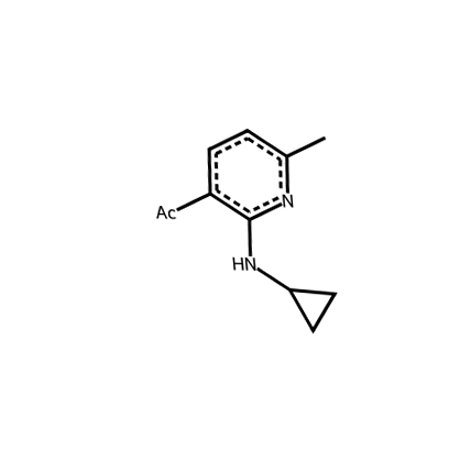 CC(=O)c1ccc(C)nc1NC1CC1